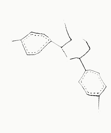 Clc1ccc(C(CI)OC(CI)c2ccc(Cl)cc2)cc1